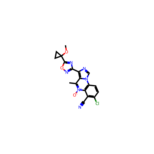 COC1(c2nc(-c3ncn4c3c(C)[n+]([O-])c3c(C#N)c(Cl)ccc34)no2)CC1